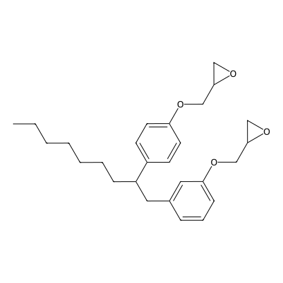 CCCCCCCC(Cc1cccc(OCC2CO2)c1)c1ccc(OCC2CO2)cc1